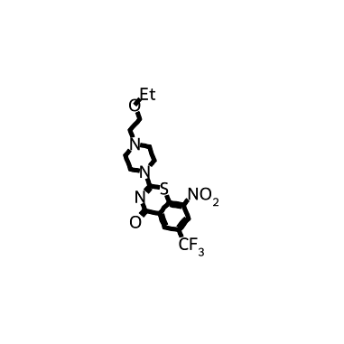 CCOCCN1CCN(c2nc(=O)c3cc(C(F)(F)F)cc([N+](=O)[O-])c3s2)CC1